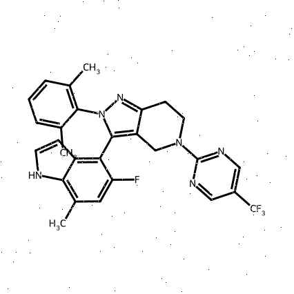 Cc1cccc(C)c1-n1nc2c(c1-c1c(F)cc(C)c3[nH]ccc13)CN(c1ncc(C(F)(F)F)cn1)CC2